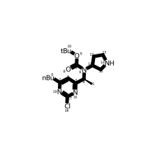 CCCCc1cc([C@H](C)N(C(=O)OC(C)(C)C)C2CCNC2)nc(Cl)n1